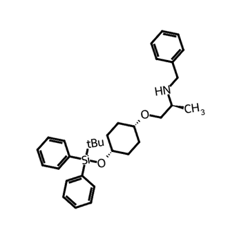 C[C@@H](CO[C@H]1CC[C@@H](O[Si](c2ccccc2)(c2ccccc2)C(C)(C)C)CC1)NCc1ccccc1